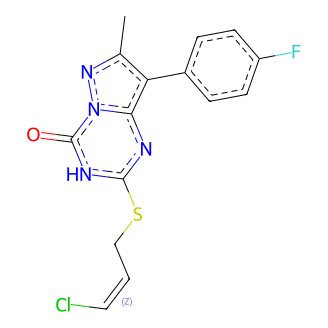 Cc1nn2c(=O)[nH]c(SC/C=C\Cl)nc2c1-c1ccc(F)cc1